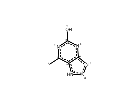 Cc1nc(O)nc2nn[nH]c12